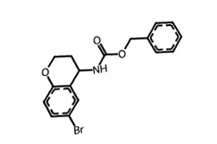 O=C(NC1CCOc2ccc(Br)cc21)OCc1ccccc1